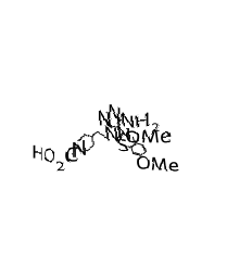 COc1ccc(OC)c(Sc2nc3c(N)ncnc3n2CCC2CCN(C(=O)O)CC2)c1